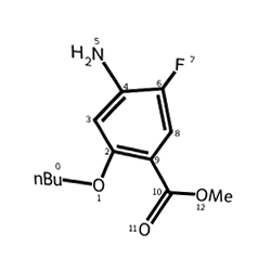 CCCCOc1cc(N)c(F)cc1C(=O)OC